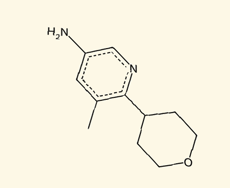 Cc1cc(N)cnc1C1CCOCC1